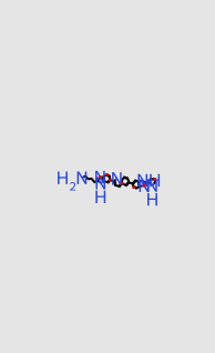 NCCCCc1nc2ccc(-c3ccc4cc(-c5ccc6nc(C7CCCN7)[nH]c6c5)ccc4n3)cc2[nH]1